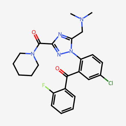 CN(C)Cc1nc(C(=O)N2CCCCC2)nn1-c1ccc(Cl)cc1C(=O)c1ccccc1F